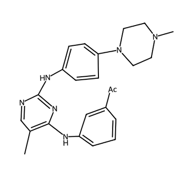 CC(=O)c1cccc(Nc2nc(Nc3ccc(N4CCN(C)CC4)cc3)ncc2C)c1